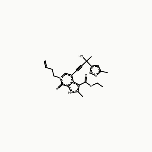 C=CCCn1cc(C#CC(C)(O)c2cc(C)on2)c2c(C(=O)OCC)c(C)[nH]c2c1=O